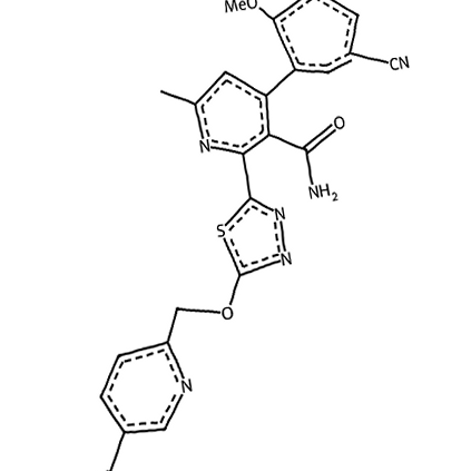 COc1ccc(C#N)cc1-c1cc(C)nc(-c2nnc(OCc3ccc(Cl)cn3)s2)c1C(N)=O